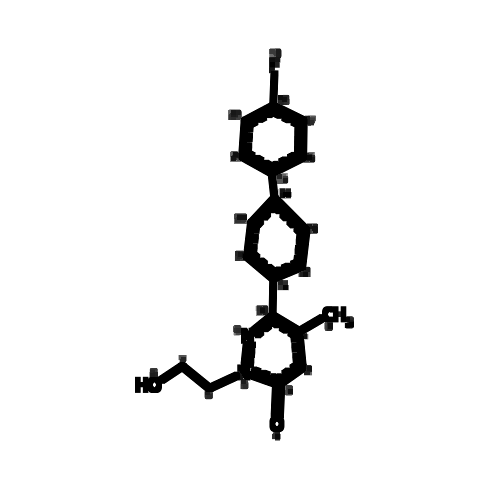 Cc1cc(=O)n(CCO)nc1-c1ccc(-c2ccc(F)cc2)cc1